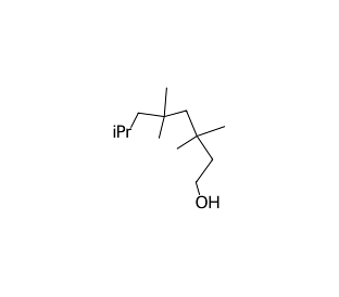 CC(C)CC(C)(C)CC(C)(C)CCO